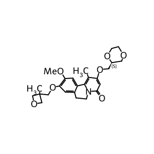 COc1cc2c(cc1OCC1(C)COC1)CCn1c-2c(C)c(OC[C@@H]2COCCO2)cc1=O